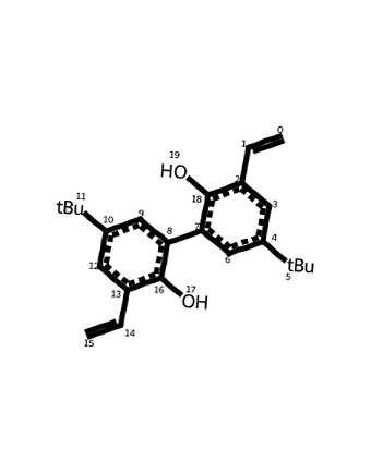 C=Cc1cc(C(C)(C)C)cc(-c2cc(C(C)(C)C)cc(C=C)c2O)c1O